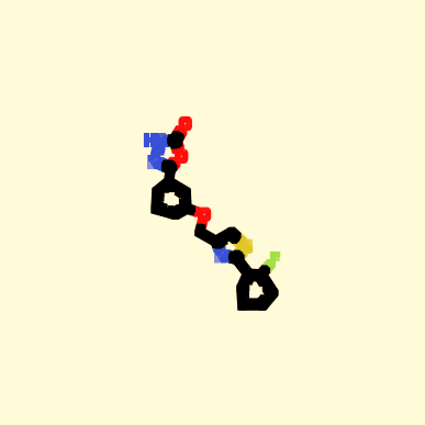 O=c1[nH]nc(-c2cccc(OCc3csc(-c4ccccc4F)n3)c2)o1